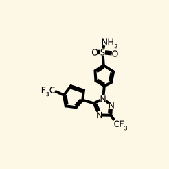 NS(=O)(=O)c1ccc(-n2nc(C(F)(F)F)nc2-c2ccc(C(F)(F)F)cc2)cc1